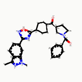 Cc1nn(C)c2cc(-c3noc(C4CCC(C(=O)[C@H]5CCN(C(=O)c6ccccc6)C5)CC4)n3)ccc12